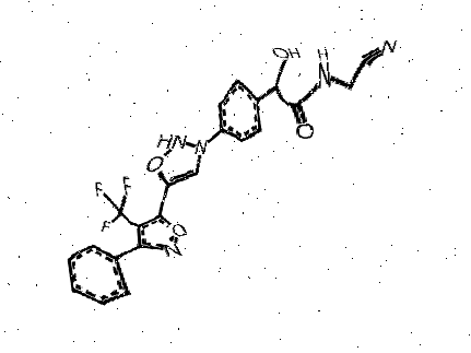 N#CCNC(=O)C(O)c1ccc(N2C=C(c3onc(-c4ccccc4)c3C(F)(F)F)ON2)cc1